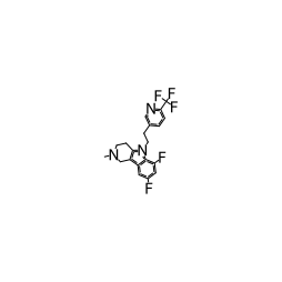 CN1CCc2c(c3cc(F)cc(F)c3n2CCc2ccc(C(F)(F)F)nc2)C1